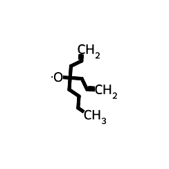 C=CCC([O])(CC=C)CCCC